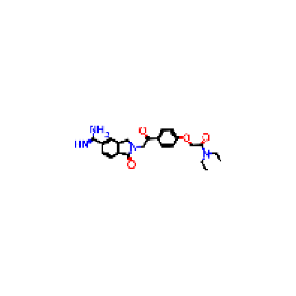 CCN(CC)C(=O)COc1ccc(C(=O)CN2Cc3cc(C(=N)N)ccc3C2=O)cc1